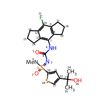 CNS(=O)(=NC(=O)Nc1c2c(c(F)c3c1CCC3)CCC2)c1cc(C(C)(C)O)cs1